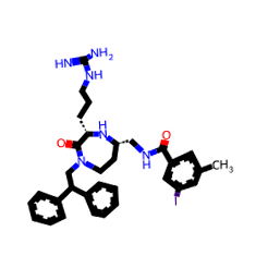 Cc1cc(I)cc(C(=O)NC[C@@H]2CCN(CC(c3ccccc3)c3ccccc3)C(=O)[C@H](CCCNC(=N)N)N2)c1